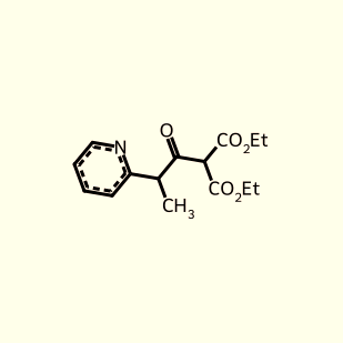 CCOC(=O)C(C(=O)OCC)C(=O)C(C)c1ccccn1